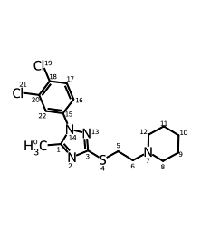 Cc1nc(SCCN2CCCCC2)nn1-c1ccc(Cl)c(Cl)c1